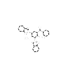 O=C(c1ccccc1)c1cc(-n2nc3ccccc3n2)c(O)c(-n2nc3ccccc3n2)c1O